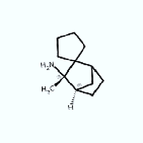 C[C@]1(N)[C@@H]2CCC(C2)C12CCCC2